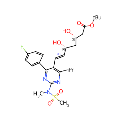 CC(C)c1nc(N(C)S(C)(=O)=O)nc(-c2ccc(F)cc2)c1/C=C/[C@H](O)C[C@H](O)CC(=O)OC(C)(C)C